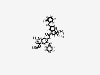 C[C@@H]1CN(CC(=O)N2CC(C)(C)c3ncc(Cc4ccccc4F)cc32)[C@@H](CN2CCOCC2)CN1C(=O)OC(C)(C)C